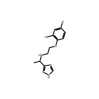 CC(NCCOc1ccc(Cl)cc1Cl)c1nc[nH]n1